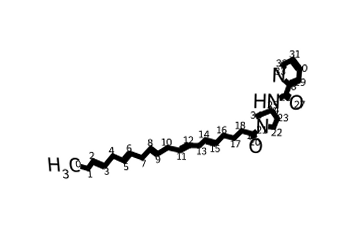 CCC=CCC=CCC=CCC=CCC=CCCCC(=O)N1CCC(NC(=O)c2ccccn2)C1